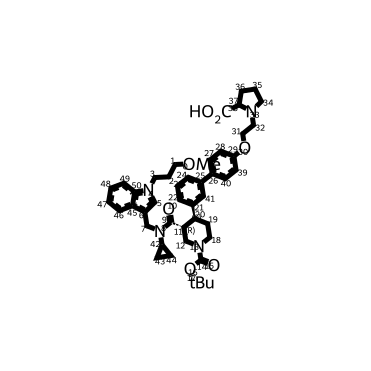 COCCCn1cc(CN(C(=O)[C@H]2CN(C(=O)OC(C)(C)C)CC[C@@H]2c2cccc(-c3ccc(OCCN4CCCC4C(=O)O)cc3)c2)C2CC2)c2ccccc21